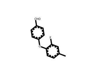 Cc1ccc(Oc2ccc(C=O)cc2)c(F)c1